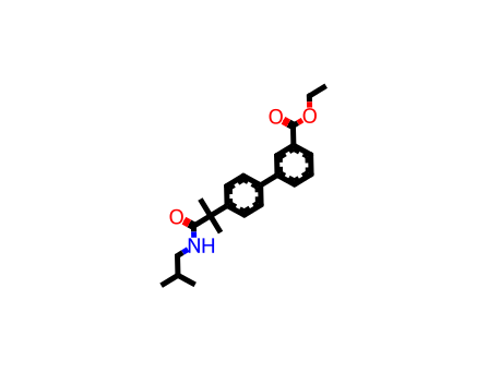 CCOC(=O)c1cccc(-c2ccc(C(C)(C)C(=O)NCC(C)C)cc2)c1